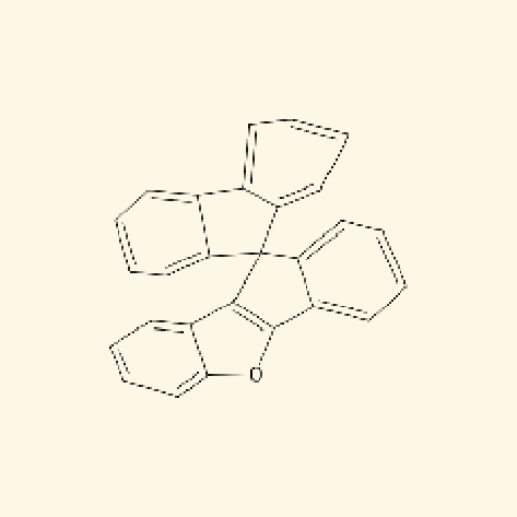 c1ccc2c(c1)-c1ccccc1C21c2ccccc2-c2oc3ccccc3c21